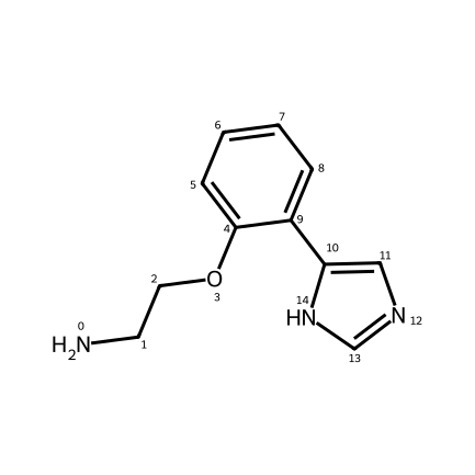 NCCOc1ccccc1-c1cnc[nH]1